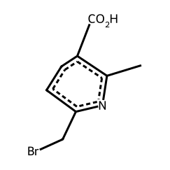 Cc1nc(CBr)ccc1C(=O)O